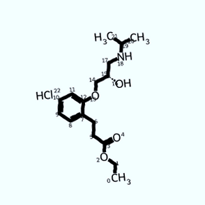 CCOC(=O)CCc1ccccc1OC[C@@H](O)CNC(C)C.Cl